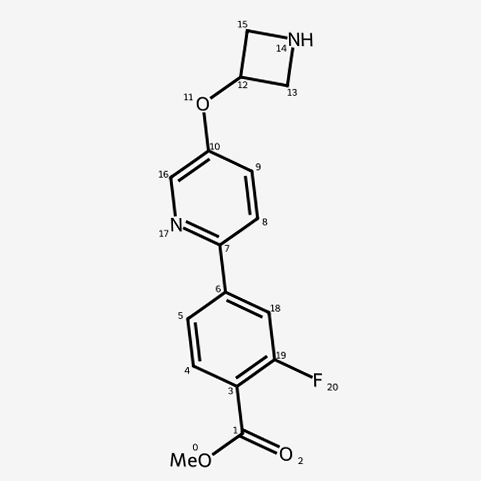 COC(=O)c1ccc(-c2ccc(OC3CNC3)cn2)cc1F